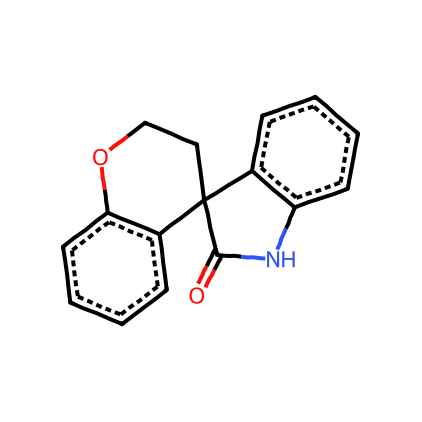 O=C1Nc2ccccc2C12CCOc1ccccc12